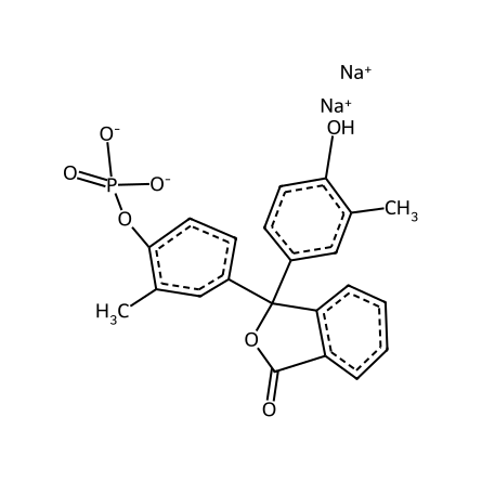 Cc1cc(C2(c3ccc(OP(=O)([O-])[O-])c(C)c3)OC(=O)c3ccccc32)ccc1O.[Na+].[Na+]